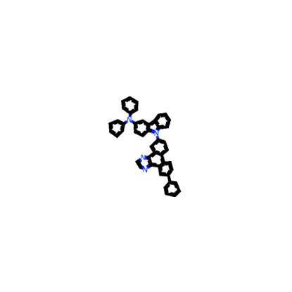 c1ccc(-c2ccc3c4ccc(-n5c6ccccc6c6cc(N(c7ccccc7)c7ccccc7)ccc65)cc4c4nccnc4c3c2)cc1